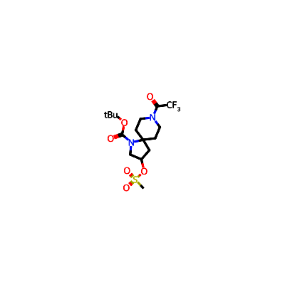 CC(C)(C)OC(=O)N1CC(OS(C)(=O)=O)CC12CCN(C(=O)C(F)(F)F)CC2